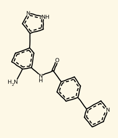 Nc1ccc(-c2cn[nH]c2)cc1NC(=O)c1ccc(-c2cccnc2)cc1